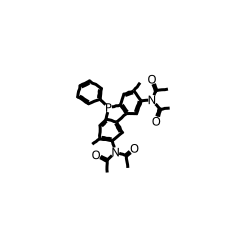 CC(=O)N(C(C)=O)c1cc2c3cc(N(C(C)=O)C(C)=O)c(C)cc3p(-c3ccccc3)c2cc1C